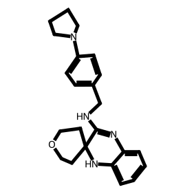 c1ccc2c(c1)N=C(NCc1ccc(N3CCCC3)cc1)C1(CCOCC1)N2